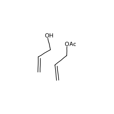 C=CCO.C=CCOC(C)=O